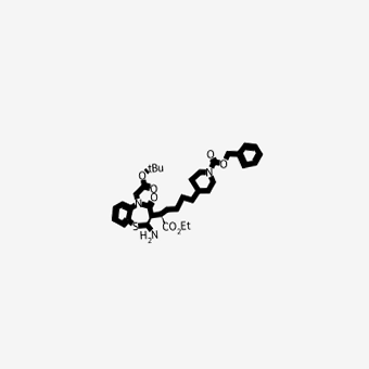 CCOC(=O)[C@@H](CCCCC1CCN(C(=O)OCc2ccccc2)CC1)[C@@H]1C(=O)N(CC(=O)OC(C)(C)C)c2ccccc2SC1N